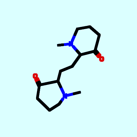 CN1CCCC(=O)C1CCC1C(=O)CCCN1C